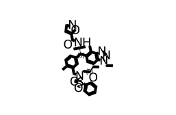 CC[C@@H]1CN(Cc2cc([C@@H](c3ccc4c(nnn4CC)c3C)C(C)(C)NC(=O)c3ccno3)ccc2C)S(=O)(=O)c2ccccc2O1